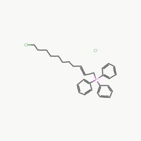 ClCCCCCCCCC=CC[P+](c1ccccc1)(c1ccccc1)c1ccccc1.[Cl-]